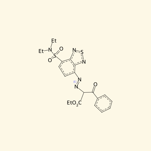 CCOC(=O)C(/N=N/c1ccc(S(=O)(=O)N(CC)CC)c2nsnc12)C(=O)c1ccccc1